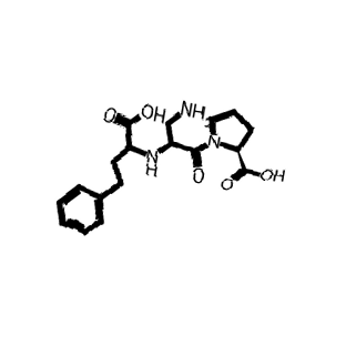 NCC(NC(CCc1ccccc1)C(=O)O)C(=O)N1CCC[C@H]1C(=O)O